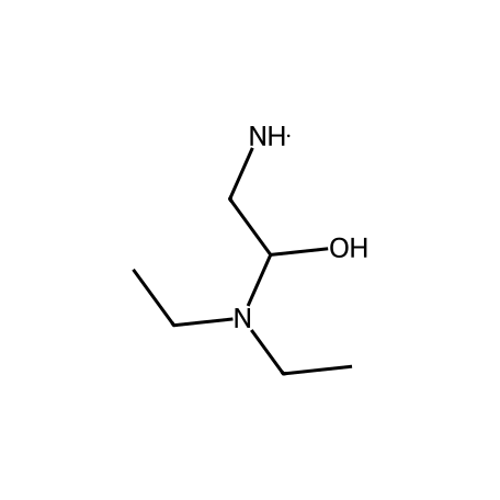 CCN(CC)C(O)C[NH]